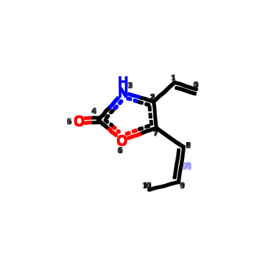 C=Cc1[nH]c(=O)oc1/C=C\C